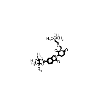 CC1(C)OB(c2ccc3c(c2)CN(C2CCC(=O)N(COCC[Si](C)(C)C)C2=O)C3=O)OC1(C)C